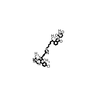 Cc1c(C#Cc2cn(CCC/C=C/C(C)c3cccc4c3CN(C3CCC(=O)NC3=O)C4=O)cn2)sc2c1C(c1ccc(Cl)cc1)=NCc1nnc(C)n1-2